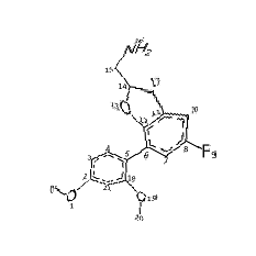 COc1ccc(-c2cc(F)cc3c2OC(CN)C3)c(OC)c1